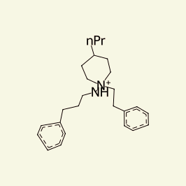 CCCC1CC[N+](CCc2ccccc2)(NCCCc2ccccc2)CC1